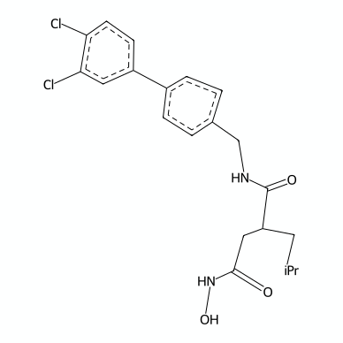 CC(C)CC(CC(=O)NO)C(=O)NCc1ccc(-c2ccc(Cl)c(Cl)c2)cc1